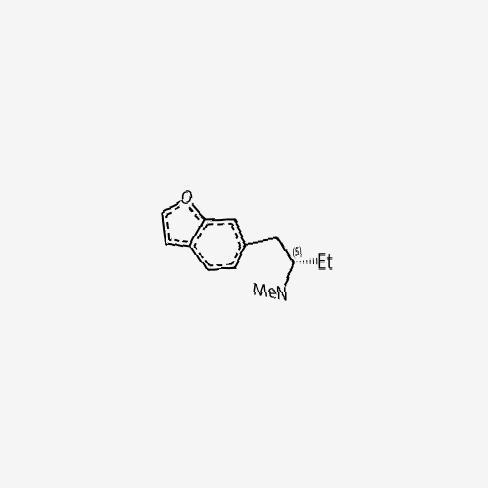 CC[C@@H](Cc1ccc2ccoc2c1)NC